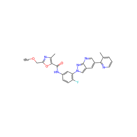 Cc1cccnc1-c1cnc2nn(-c3cc(NC(=O)c4oc(COC(C)(C)C)nc4C)ccc3F)cc2c1